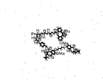 COc1cc2c(cc1OCCCCCOc1cc3c(cc1OC)C(=O)N1CC4(CC4)C[C@H]1[C@H](O)N3C(=O)OCc1ccc(NC(=O)[C@H](C)NC(=O)[C@@H](NC(=O)CNC(=O)CNC(=O)CCC(=O)N3Cc4ccccc4-c4nnn(C(C)(C)C)c4-c4ccccc43)C(C)C)cc1)NC[C@@H]1CC3(CC3)CN1C2=O